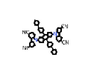 N#Cc1ccc2c(c1)c1cc(C#N)ccc1n2-c1ccc2c(-c3ccc(-c4ccccc4)cc3)c3cc(-n4c5ccc(C#N)cc5c5cc(C#N)ccc54)ccc3c(-c3ccc(-c4ccccc4)cc3)c2c1